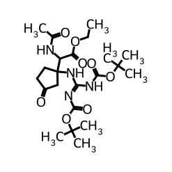 CCOC(=O)C(NC(C)=O)C1(NC(=NC(=O)OC(C)(C)C)NC(=O)OC(C)(C)C)CCC(=O)C1